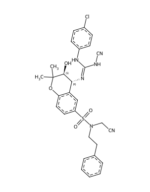 CC1(C)Oc2ccc(S(=O)(=O)N(CC#N)CCc3ccccc3)cc2[C@@H](N=C(NC#N)Nc2ccc(Cl)cc2)[C@@H]1O